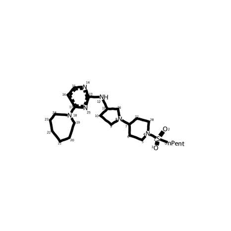 CCCCCS(=O)(=O)N1CCC(N2CCC(Nc3nccc(N4CCCCCC4)n3)C2)CC1